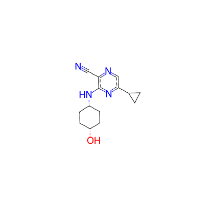 N#Cc1ncc(C2CC2)nc1N[C@H]1CC[C@@H](O)CC1